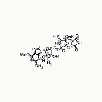 COc1nc(N)nc2c1ncn2[C@@H]1O[C@H](COP(=O)(N[C@@H](C)C(=O)OC(C)C)SC[C@H]2C(=O)NC(=O)N2C)[C@@H](O)[C@@]1(C)O